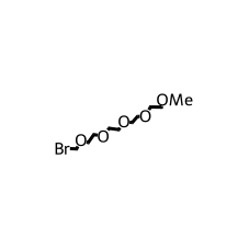 COCCOCCOCCOCCOCBr